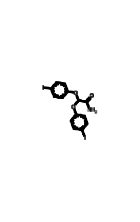 NC(=O)C(Oc1ccc(I)cc1)Oc1ccc(I)cc1